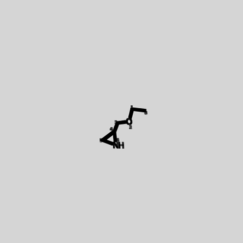 CCOCC1CN1